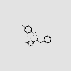 CC(C)n1c(S)nnc1C(Cc1ccccc1)NS(=O)(=O)c1ccc(Cl)cc1